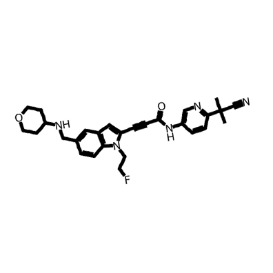 CC(C)(C#N)c1ccc(NC(=O)C#Cc2cc3cc(CNC4CCOCC4)ccc3n2CCF)cn1